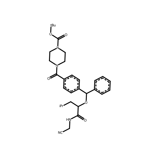 CC(C)CC(OC(c1ccccc1)c1ccc(C(=O)N2CCN(C(=O)OC(C)(C)C)CC2)cc1)C(=O)NCC#N